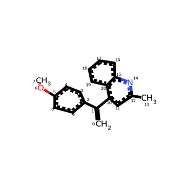 C=C(c1ccc(OC)cc1)c1cc(C)nc2ccccc12